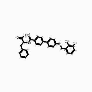 O=C(NC(Cc1ccccc1)C(=O)O)c1ccc(-c2ccc(OCc3cccc(Cl)c3Cl)cc2)cc1